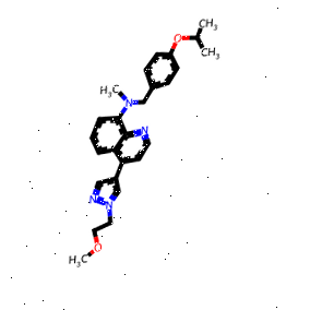 COCCn1cc(-c2ccnc3c(N(C)Cc4ccc(OC(C)C)cc4)cccc23)cn1